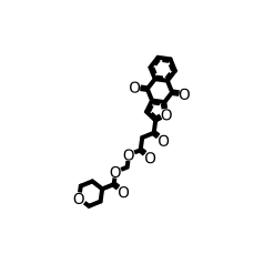 O=C(CC(=O)c1cc2c(o1)C(=O)c1ccccc1C2=O)OCOC(=O)C1CCOCC1